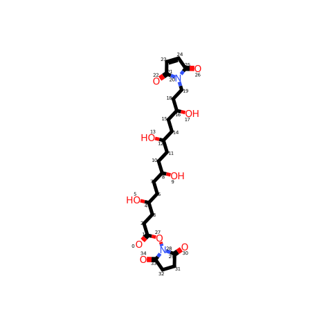 O=C(CCC(O)CCC(O)CCC(O)CCC(O)CCN1C(=O)C=CC1=O)ON1C(=O)CCC1=O